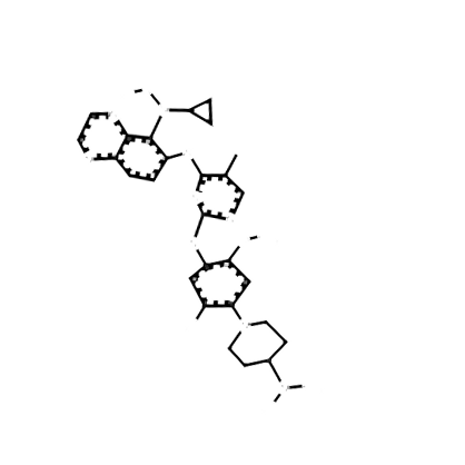 COc1cc(N2CCC(N(C)C)CC2)c(C)cc1Nc1ncc(Cl)c(Nc2ccc3nccnc3c2N(SC)C2CC2)n1